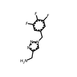 NCc1cn(Cc2cc(F)c(F)c(F)c2)nn1